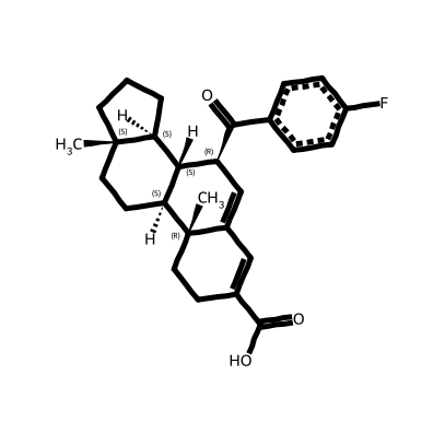 C[C@@]12CCC[C@H]1[C@@H]1[C@@H](C(=O)c3ccc(F)cc3)C=C3C=C(C(=O)O)CC[C@]3(C)[C@H]1CC2